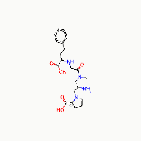 CN(CC(N)CN1CCC[C@H]1C(=O)O)C(=O)CNC(CCc1ccccc1)C(=O)O